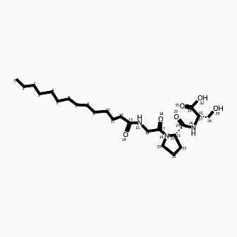 CCCCCCCCCCCCCC(=O)NCC(=O)N1CCC[C@H]1C(=O)N[C@@H](CO)C(=O)O